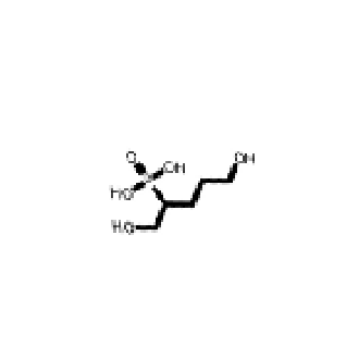 O=P(O)(O)C(CO)CCCO